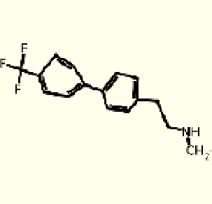 [CH2]NCCc1ccc(-c2ccc(C(F)(F)F)cc2)cc1